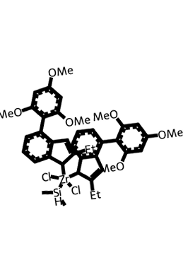 CCC1=Cc2c(-c3c(OC)cc(OC)cc3OC)cccc2[CH]1[Zr]([Cl])([Cl])([CH]1C(CC)=Cc2c(-c3c(OC)cc(OC)cc3OC)cccc21)[SiH](C)C